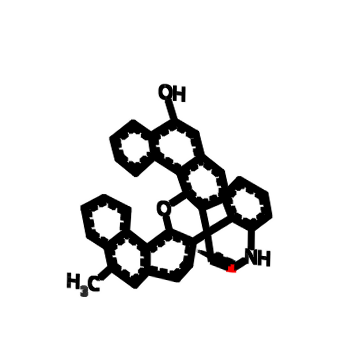 Cc1cc2ccc3c(c2c2ccccc12)Oc1c(ccc2cc(O)c4ccccc4c12)C31c2ccccc2Nc2ccccc21